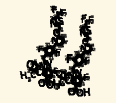 CC1(C)COCC1n1c(Cc2cc(F)c(-c3cccc(OCc4ncc(C(F)F)s4)n3)cc2F)nc2c(F)cc(C(=O)O)cc21.CC1(C)COCC1n1c(Cc2cc(F)c(-c3cccc(OCc4ncc(C(F)F)s4)n3)cc2F)nc2c(F)cc(C(=O)O)cc21